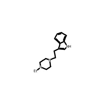 CCN1CCN(CCc2c[nH]c3ccccc23)CC1